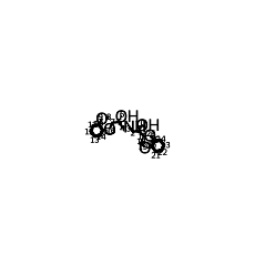 O[C@H](CNC[C@H](O)[C@H]1COc2ccccc2O1)[C@@H]1COc2ccccc2O1